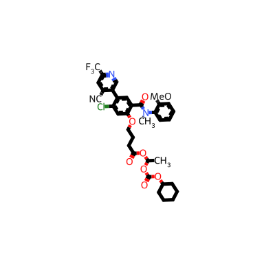 COc1ccccc1N(C)C(=O)c1cc(-c2cnc(C(F)(F)F)cc2C#N)c(Cl)cc1OCCCC(=O)OC(C)OC(=O)OC1CCCCC1